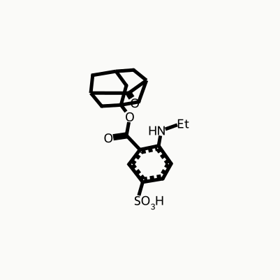 CCNc1ccc(S(=O)(=O)O)cc1C(=O)OC12CC3CC(C1)C(=O)C(C3)C2